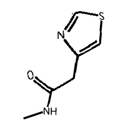 CNC(=O)Cc1cs[c]n1